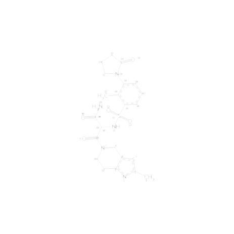 Cc1nc2c(s1)CN(C(=O)[C@@H](NS(=O)(=O)c1cccc(N3CCCC3=O)c1C)C(N)=O)CC2